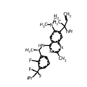 C=CC(C)(CCC)c1cc2nc(C)nc(N[C@H](C)c3cccc(C(F)(F)C(C)C)c3F)c2cc1N(C)C